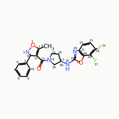 Cc1onc(-c2ccccc2)c1C(=O)N1CC[C@@H](Nc2nc3ccc(F)c(F)c3o2)C1